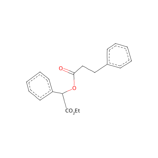 CCOC(=O)C(OC(=O)CCc1ccccc1)c1ccccc1